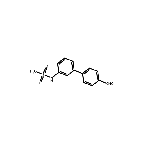 CS(=O)(=O)Nc1cccc(-c2ccc(C=O)cc2)c1